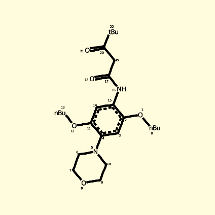 CCCCOc1cc(N2CCOCC2)c(OCCCC)cc1NC(=O)CC(=O)C(C)(C)C